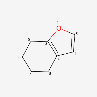 [c]1cc2c(o1)CCCC2